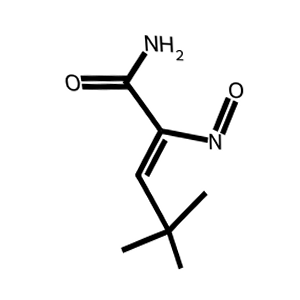 CC(C)(C)/C=C(\N=O)C(N)=O